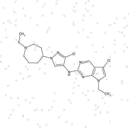 CCn1cc(Cl)c2cnc(Nc3cn(C4CCCN(SC)CC4)nc3Cl)nc21